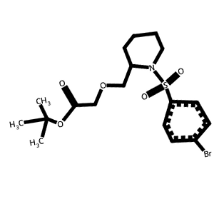 CC(C)(C)OC(=O)COCC1CCCCN1S(=O)(=O)c1ccc(Br)cc1